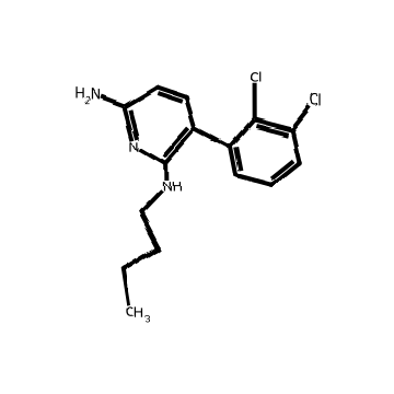 CCCCNc1nc(N)ccc1-c1cccc(Cl)c1Cl